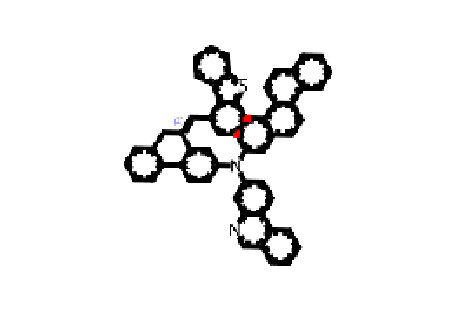 C(=C1\Cc2ccccc2-c2ccc(N(c3ccc4c(ccc5c6ccccc6ccc45)c3)c3ccc4c(c3)ncc3ccccc34)cc21)/c1cccc2sc3ccccc3c12